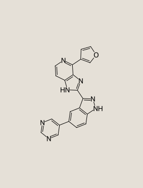 c1ncc(-c2ccc3[nH]nc(-c4nc5c(-c6ccoc6)nccc5[nH]4)c3c2)cn1